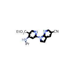 CCOC(=O)c1cnc(-n2ccc3cc(C#N)cnc32)cc1NC(C)C